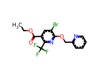 CCOC(=O)c1cc(Br)c(OCc2ccccn2)nc1C(F)(F)F